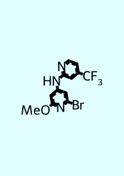 COc1cc(Nc2cc(C(F)(F)F)ccn2)cc(Br)n1